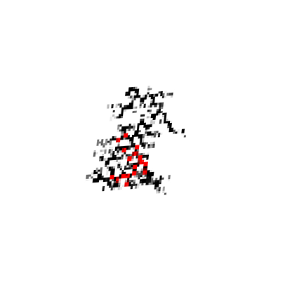 CC(C)C[C@H](NC(=O)[C@H](CCCCN)NC(=O)[C@H](CO)NC(=O)[C@@H]1CCCN1C(=O)[C@@H](N)CC(C)C)C(=O)N[C@@H](CCCCN)C(=O)N[C@@H](CC(C)C)C(=O)N[C@@H](CCCNC(=N)N)C(=O)N[C@H](C(=O)N[C@@H](Cc1c[nH]cn1)C(=O)N[C@@H](CO)C(=O)N[C@@H](CCC(N)=O)C(=O)N[C@@H](CO)C(=O)N[C@@H](Cc1c[nH]cn1)C(=O)N[C@@H](Cc1c[nH]cn1)C(=O)O)[C@@H](C)O